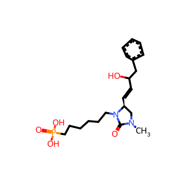 CN1C[C@H](C=CC(O)Cc2ccccc2)N(CCCCCCP(=O)(O)O)C1=O